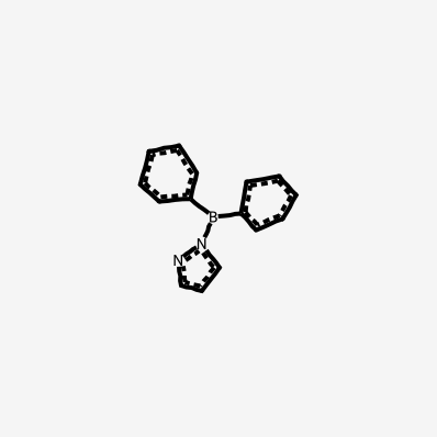 c1ccc(B(c2ccccc2)n2cccn2)cc1